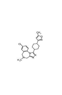 Cc1cc(C2CCC(c3nnc4n3-c3ccc(Cl)cc3CN(C)C4)CC2)no1